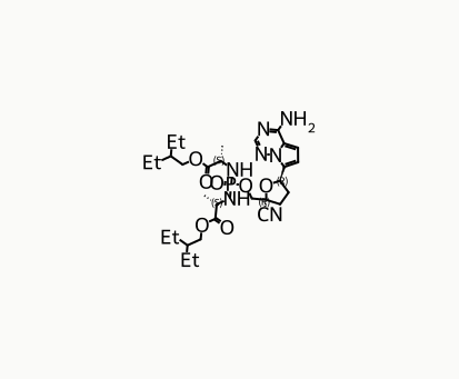 CCC(CC)COC(=O)[C@H](C)NP(=O)(N[C@@H](C)C(=O)OCC(CC)CC)OC[C@]1(C#N)CC[C@H](c2ccc3c(N)ncnn23)O1